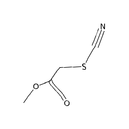 COC(=O)CSC#N